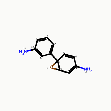 NC1=CC2SC2(c2cccc(N)c2)C=C1